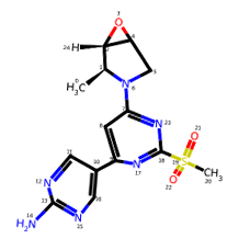 C[C@H]1[C@@H]2OC2CN1c1cc(-c2cnc(N)nc2)nc(S(C)(=O)=O)n1